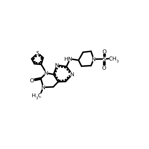 CN1Cc2cnc(NC3CCN(S(C)(=O)=O)CC3)nc2N(c2ccsc2)C1=O